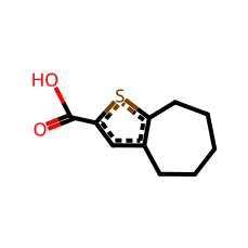 O=C(O)c1cc2c(s1)CCCCC2